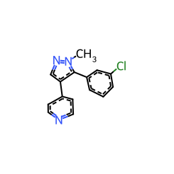 Cn1ncc(-c2ccncc2)c1-c1cccc(Cl)c1